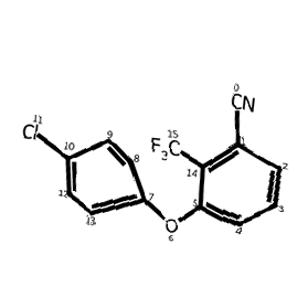 N#Cc1cccc(Oc2ccc(Cl)cc2)c1C(F)(F)F